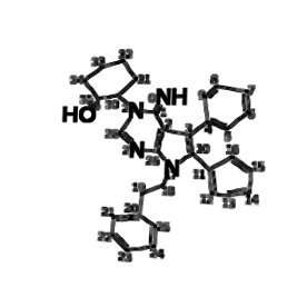 N=c1c2c(-c3ccccc3)c(-c3ccccc3)n(CCc3ccccc3)c2ncn1C1CCCC[C@H]1O